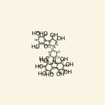 Cc1cc(-c2cc(O)c(O)c3c2oc2c(O)cc(O)c(O)c23)ccc1-n1c2c(O)c(O)c(O)c(O)c2c2c(O)c(O)c(O)c(O)c21